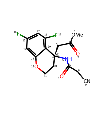 COC(=O)C[C@@]1(NC(=O)CC#N)CCOc2cc(F)cc(F)c21